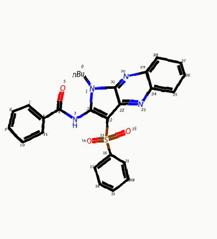 CCCCn1c(NC(=O)c2ccccc2)c(S(=O)(=O)c2ccccc2)c2nc3ccccc3nc21